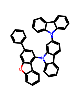 c1ccc(-c2cc(-n3c4ccccc4c4ccc(-n5c6ccccc6c6ccccc65)cc43)c3c(c2)oc2ccccc23)cc1